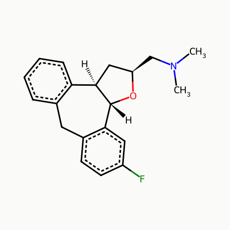 CN(C)C[C@@H]1C[C@@H]2c3ccccc3Cc3ccc(F)cc3[C@H]2O1